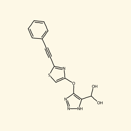 OC(O)c1[nH]nnc1Oc1csc(C#Cc2ccccc2)n1